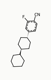 N#Cc1ccc([C@H]2CC[C@H](C3CC[CH]CC3)CC2)cc1F